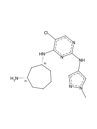 Cn1cc(Nc2ncc(Cl)c(N[C@@H]3CCCC[C@H](N)C3)n2)cn1